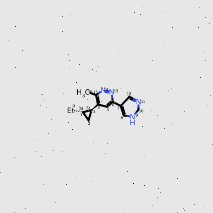 CC[C@H]1C[C@@H]1c1cc(C2=CNCN=C2)nnc1C